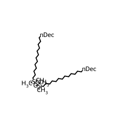 CCCCCCCCCCCCCCCCCCCCCCC[Si](C)(C)O[Si](C)(C)CCCCCCCCCCCCCCCCCCCCCCC